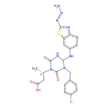 C[C@@H](CC(=O)O)N1C(=O)NC(Nc2ccc3nc(N=NN)sc3c2)N(Cc2ccc(Cl)cc2)C1=O